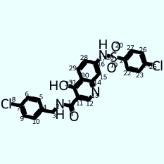 O=C(NCc1ccc(Cl)cc1)c1cnc2cc(NS(=O)(=O)c3ccc(Cl)cc3)ccc2c1O